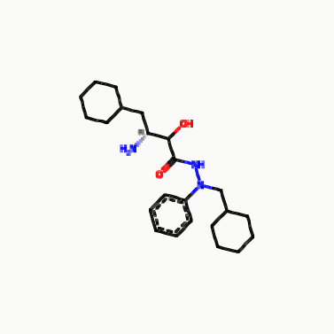 N[C@H](CC1CCCCC1)C(O)C(=O)NN(CC1CCCCC1)c1ccccc1